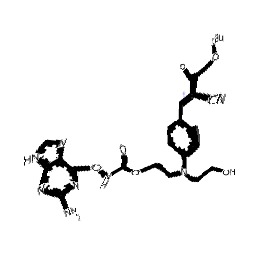 CC(C)(C)OC(=O)/C(C#N)=C/c1ccc(N(CCO)CCOC(=O)NOc2nc(N)nc3[nH]cnc23)cc1